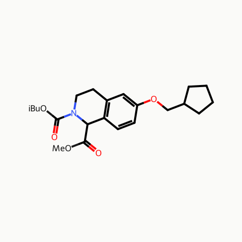 COC(=O)C1c2ccc(OCC3CCCC3)cc2CCN1C(=O)OCC(C)C